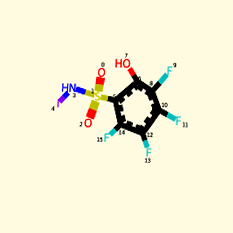 O=S(=O)(NI)c1c(O)c(F)c(F)c(F)c1F